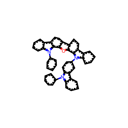 c1ccc(-n2c3ccccc3c3cc(-n4c5ccccc5c5ccc6c7ccc8c9ccccc9n(-c9ccccc9)c8c7oc6c54)ccc32)cc1